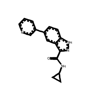 O=C(NC1CC1)c1n[nH]c2ccc(-c3cccnc3)cc12